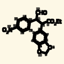 CCOC(=O)C(c1ccc2c(c1)OCO2)C(C=O)c1ccc([N+](=O)[O-])cc1